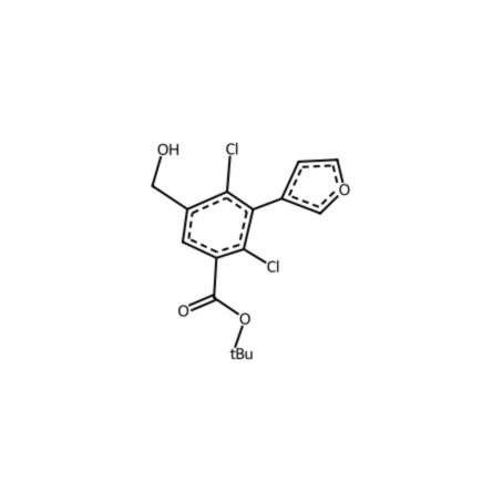 CC(C)(C)OC(=O)c1cc(CO)c(Cl)c(-c2ccoc2)c1Cl